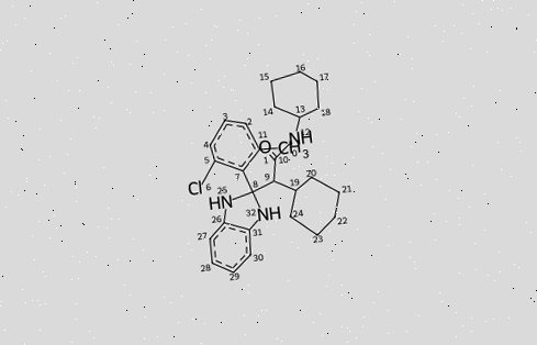 Cc1cccc(Cl)c1C1(C(C(=O)NC2CCCCC2)C2CCCCC2)Nc2ccccc2N1